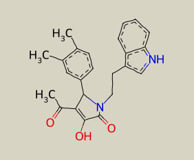 CC(=O)C1=C(O)C(=O)N(CCc2c[nH]c3ccccc23)C1c1ccc(C)c(C)c1